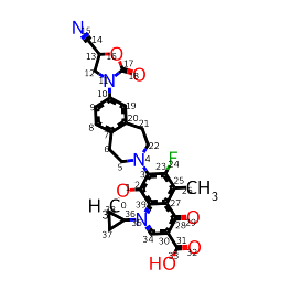 COc1c(N2CCc3ccc(N4CC(C#N)OC4=O)cc3CC2)c(F)c(C)c2c(=O)c(C(=O)O)cn(C3CC3)c12